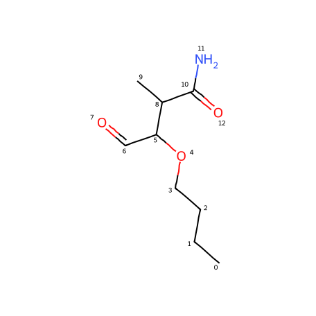 CCCCOC(C=O)C(C)C(N)=O